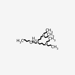 CCCCO[SiH2]CN(CCCN(CCC)CCC)CCCN(CCC)CCC